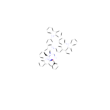 c1ccc(-c2nc(-c3ccccc3)nc(-c3cc(-c4cccc5c6ccccc6n(-c6ccccc6)c45)ccc3-n3c4cc(-n5c6ccccc6c6ccccc65)ccc4c4ccc(-n5c6ccccc6c6ccccc65)cc43)n2)cc1